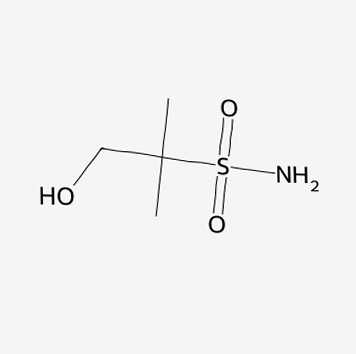 CC(C)(CO)S(N)(=O)=O